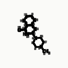 CN1CCN(c2nc3nccnc3c(=O)[nH]2)CC1